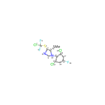 CSc1c(SC(F)(F)Cl)ncn1-c1c(Cl)cc(F)cc1Cl